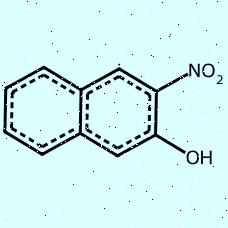 O=[N+]([O-])c1[c]c2ccccc2cc1O